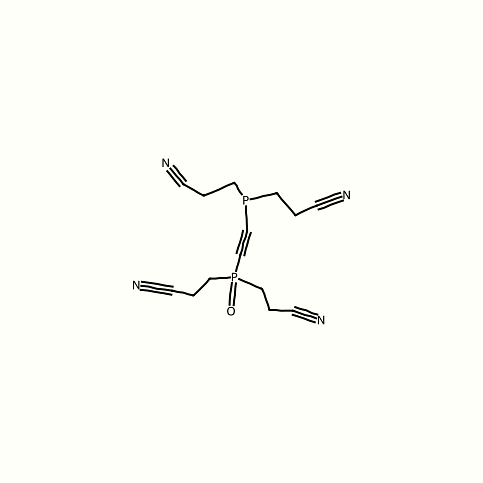 N#CCCP(C#CP(=O)(CCC#N)CCC#N)CCC#N